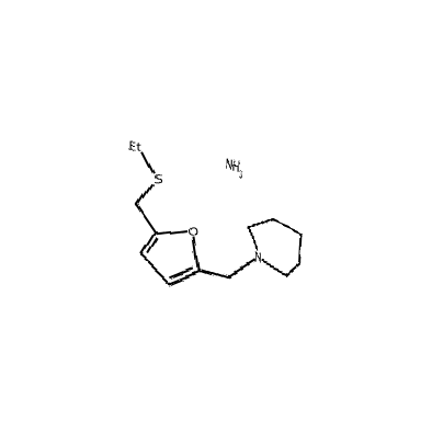 CCSCc1ccc(CN2CCCCC2)o1.N